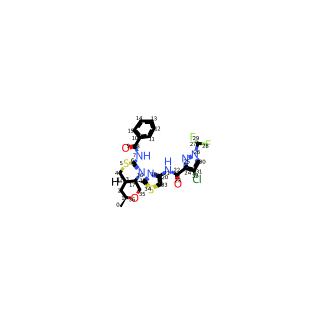 C[C@H]1C[C@H]2CSC(NC(=O)c3ccccc3)=N[C@@]2(c2nc(NC(=O)c3nn(C(F)F)cc3Cl)cs2)CO1